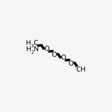 C#CCOCCOCCOCCOCCC(C)N